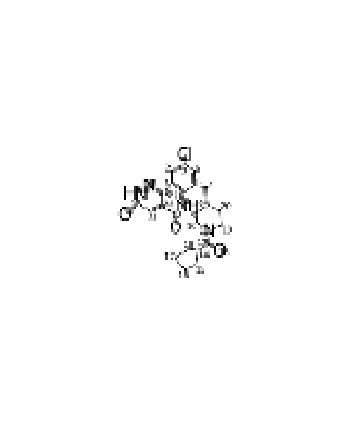 Cc1cc(Cl)cc(C=C2CCN(C(=O)C3CCCC3)CC2)c1NC(=O)c1cn[nH]c(=O)c1